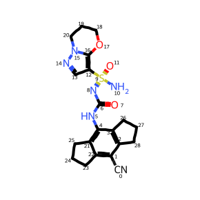 N#Cc1c2c(c(NC(=O)N=S(N)(=O)c3cnn4c3OCCC4)c3c1CCC3)CCC2